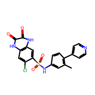 Cc1cc(NS(=O)(=O)c2cc3[nH]c(=O)c(=O)[nH]c3cc2Cl)ccc1-c1ccncc1